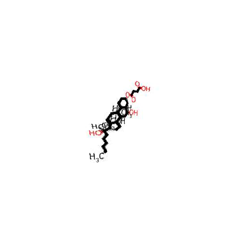 CCCCCC[C@](C)(O)[C@H]1CC[C@H]2[C@@H]3C[C@H](O)[C@H]4C[C@@H](OC(=O)CCC(=O)O)CC[C@]4(C)[C@H]3CC[C@@]21C